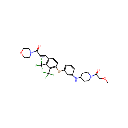 COCC(=O)N1CCC(Nc2cccc(Sc3ccc(/C=C/C(=O)N4CCOCC4)c(C(F)(F)F)c3C(F)(F)F)c2)CC1